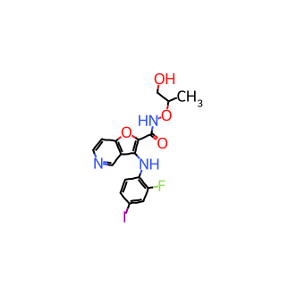 CC(CO)ONC(=O)c1oc2ccncc2c1Nc1ccc(I)cc1F